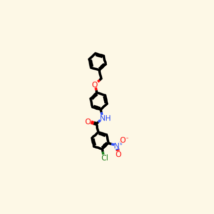 O=C(Nc1ccc(OCc2ccccc2)cc1)c1ccc(Cl)c([N+](=O)[O-])c1